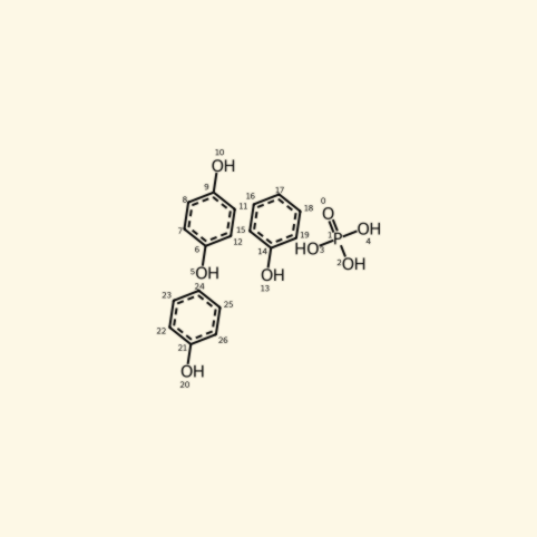 O=P(O)(O)O.Oc1ccc(O)cc1.Oc1ccccc1.Oc1ccccc1